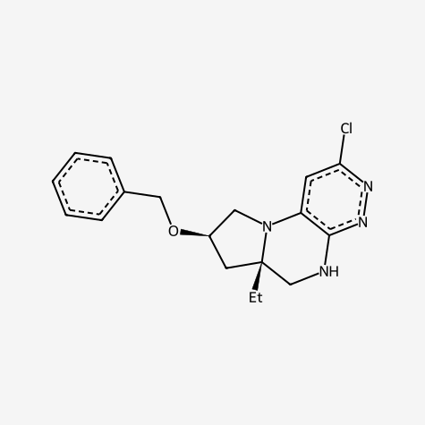 CC[C@]12CNc3nnc(Cl)cc3N1C[C@H](OCc1ccccc1)C2